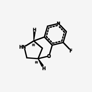 Fc1cncc2c1O[C@@H]1CN[C@H]2C1